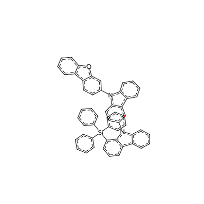 c1ccc([Si](c2ccccc2)(c2ccccc2)c2cccc3c4ccccc4n(-c4ccc5c(c4)c4ccccc4n5-c4ccc5c(c4)oc4ccccc45)c23)cc1